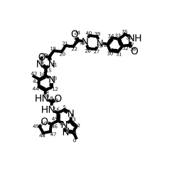 Cc1cc2ncc(NC(=O)Nc3cnc(-c4noc(CCCCC(=O)N5CCN(c6ccc7c(c6)CNC7=O)CC5)n4)c(C)c3)c(C3CCCO3)n2n1